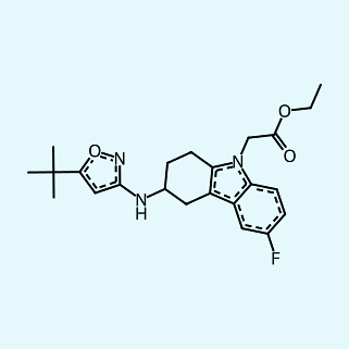 CCOC(=O)Cn1c2c(c3cc(F)ccc31)CC(Nc1cc(C(C)(C)C)on1)CC2